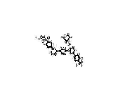 CCS(=O)(=O)c1ccc([C@H](CO)NC(=O)c2cnc(N3CC(c4ccc(C(F)(F)F)cc4)CC[C@H]3COC3CCOCC3)nc2)cc1